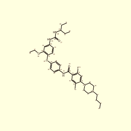 CCCCN1CCN(c2cc(F)c(C(=O)Nc3ccc(Oc4ccc(NC(=O)NC(CC)CC)cc4OCC)cc3)cc2C)CC1